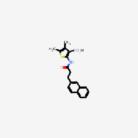 Cc1sc(NC(=O)CCc2ccc3ccccc3c2)c(C(=O)O)c1C